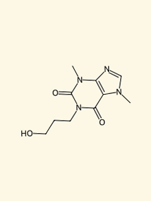 Cn1cnc2c1c(=O)n(CCCO)c(=O)n2C